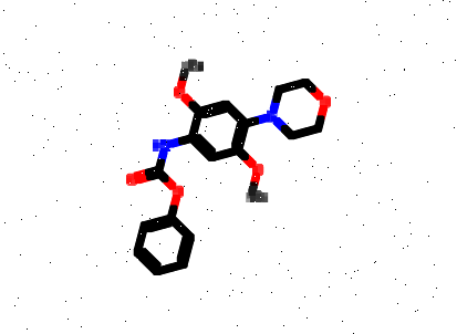 CCCCOc1cc(N2CCOCC2)c(OCCCC)cc1NC(=O)Oc1ccccc1